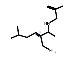 C=C(C)CNC(C)/C(=C/CC(C)C)CN